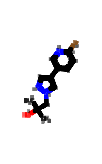 CC(C)(O)Cn1cc(-c2ccc(Br)nc2)cn1